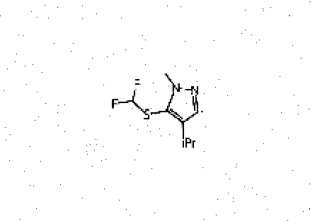 CC(C)c1[c]nn(C)c1SC(F)F